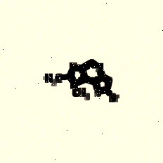 [CH2]c1nc2cnc3cc(Br)sc3c2n1C